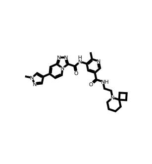 Cc1ncc(C(=O)NCCN2CCCCC23CCC3)cc1NC(=O)c1nnc2cc(-c3cnn(C)c3)ccn12